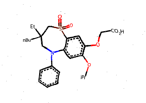 CCCCC1(CC)CN(c2ccccc2)c2cc(OC(C)C)c(OCC(=O)O)cc2S(=O)(=O)C1